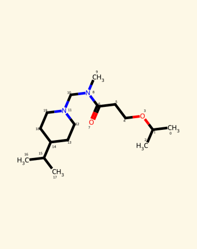 CC(C)OCCC(=O)N(C)CN1CCC(C(C)C)CC1